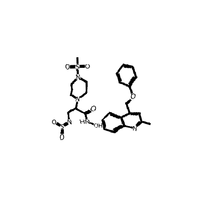 CS(=O)(=O)N1CCN(C(CN=S(=O)=O)C(=O)NO)CC1.Cc1cc(COc2ccccc2)c2ccccc2n1